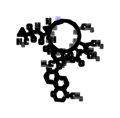 CCC(C)N(C(=O)O)[C@@H]1C(=O)N2[C@@H](C[C@@](C)(Oc3nccc4c5c(ccc34)N(C)CCO5)C2(F)F)C(=O)N[C@]2(C(=O)NS(=O)(=O)C3(C)CC3)C[C@H]2/C=C\CC[C@H](C)C[C@H]1CC